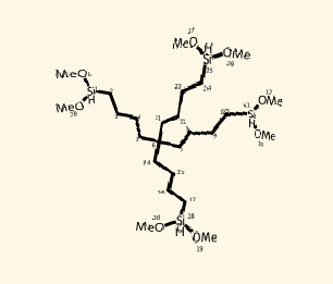 CO[SiH](CCCCC(CCCC[SiH](OC)OC)(CCCC[SiH](OC)OC)CCCC[SiH](OC)OC)OC